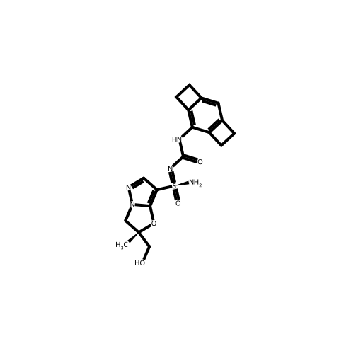 C[C@@]1(CO)Cn2ncc([S@@](N)(=O)=NC(=O)Nc3c4c(cc5c3CC5)CC4)c2O1